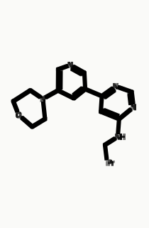 CC(C)CNc1cc(-c2cncc(N3CCOCC3)c2)ncn1